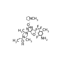 C=CC(O)N1C[C@@H](C)N(c2nc(OC[C@@H]3CCCN3C)nc3c2CO[C@@H](c2c(F)c(N)cc(C)c2C(F)(F)F)C3)C[C@@H]1C